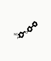 N#Cc1cc(COc2ccc(-c3ccccc3)cc2)ccc1F